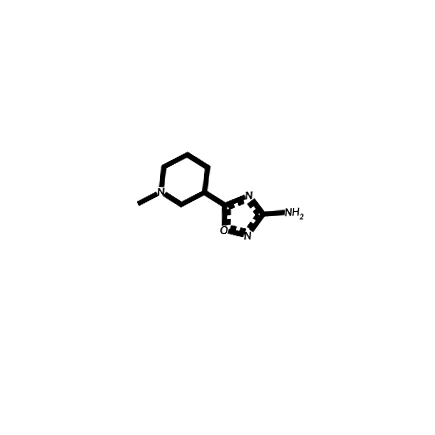 CN1CCCC(c2nc(N)no2)C1